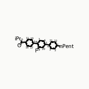 CCCCCc1ccc(-c2ccc(-c3ccc(C(=O)C(C)C)cc3)c(F)c2)cc1